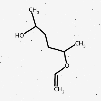 C=COC(C)CCC(C)O